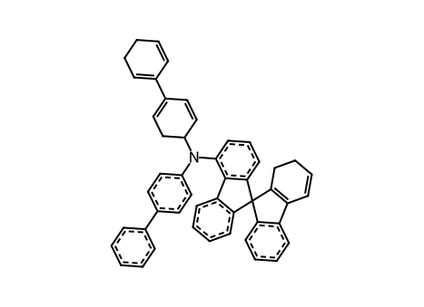 C1=CC(C2=CCC(N(c3ccc(-c4ccccc4)cc3)c3cccc4c3-c3ccccc3C43C4=C(C=CCC4)c4ccccc43)C=C2)=CCC1